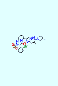 Cc1cc2nc([C@@H]3CCCCN3C(=O)C(NS(C)(=O)=O)c3ccccc3Br)cn2nc1N1CC[C@H](C)C1